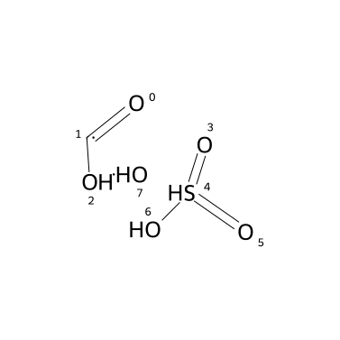 O=[C]O.O=[SH](=O)O.[OH]